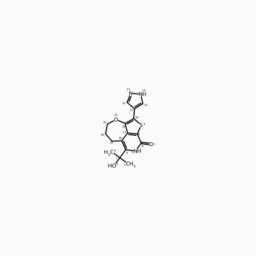 CC(C)(O)c1[nH]c(=O)c2sc(-c3cn[nH]c3)c3c2c1CCCO3